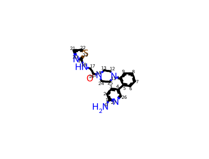 Nc1ccc(-c2ccccc2N2CCN(C(=O)CNc3nccs3)CC2)cn1